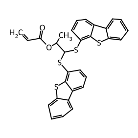 C=CC(=O)OC(C)C(Sc1cccc2c1sc1ccccc12)Sc1cccc2c1sc1ccccc12